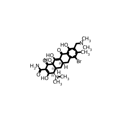 Cc1c(Br)c2c(c(O)c1CN(C)C)C(=O)C1=C(O)[C@]3(O)C(=O)C(C(N)=O)=C(O)[C@@H](N(C)C)[C@@H]3C[C@@H]1C2